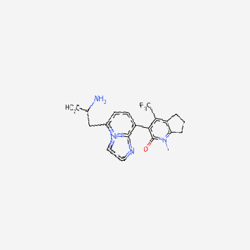 Cn1c2c(c(C(F)(F)F)c(-c3ccc(CC(N)C(=O)O)n4ccnc34)c1=O)CCC2